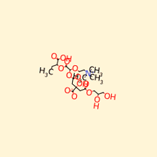 CCC(OC(=O)C(OCC[N+](C)(C)C)OC(=O)CC(O)(CC(=O)OCC(O)CO)C(=O)[O-])C(=O)O